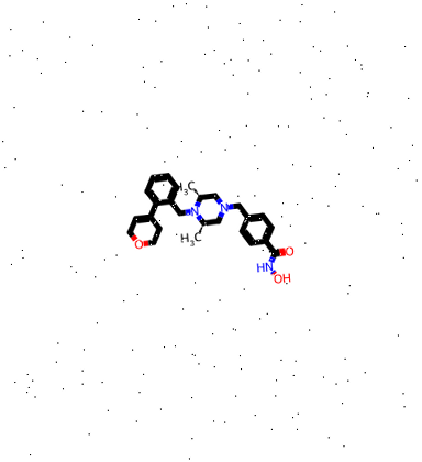 C[C@@H]1CN(Cc2ccc(C(=O)NO)cc2)C[C@H](C)N1Cc1ccccc1C1=CCOCC1